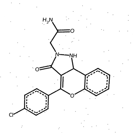 NC(=O)CN1NC2C(=C(c3ccc(Cl)cc3)Oc3ccccc32)C1=O